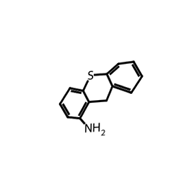 Nc1cccc2c1Cc1ccccc1S2